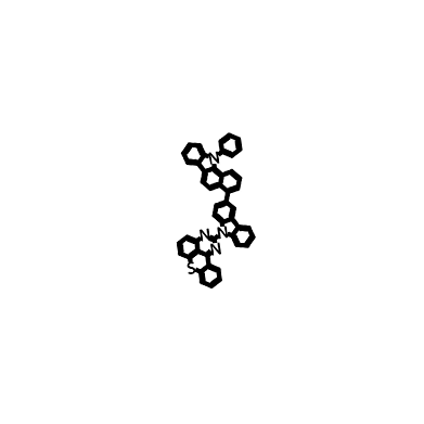 c1ccc(-n2c3ccccc3c3ccc4c(-c5ccc6c(c5)c5ccccc5n6-c5nc6c7c(cccc7n5)Sc5ccccc5-6)cccc4c32)cc1